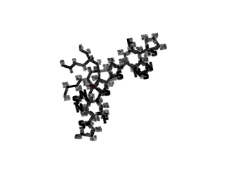 CCCCC(CC)CC1(CC(CC)CCCC)c2cc(-c3cc(F)c(-c4cccs4)c4nsnc34)sc2-c2sc(-c3cc(F)c(-c4cccs4)c4nsnc34)cc21